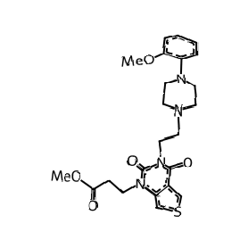 COC(=O)CCn1c(=O)n(CCN2CCN(c3ccccc3OC)CC2)c(=O)c2cscc21